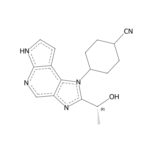 C[C@@H](O)c1nc2cnc3[nH]ccc3c2n1C1CCC(C#N)CC1